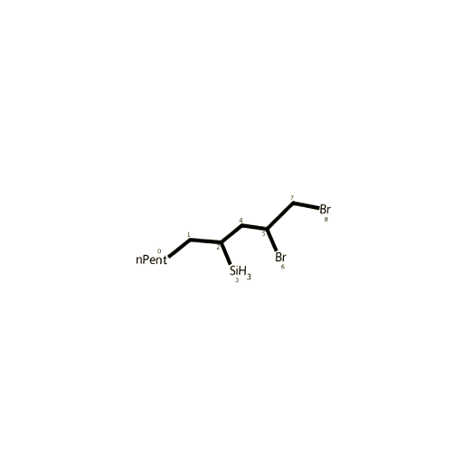 CCCCCCC([SiH3])CC(Br)CBr